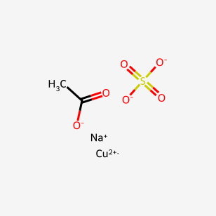 CC(=O)[O-].O=S(=O)([O-])[O-].[Cu+2].[Na+]